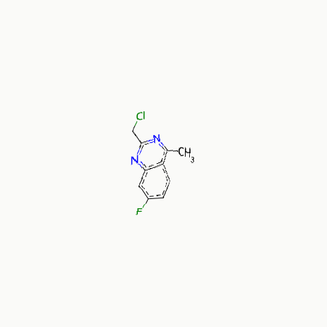 Cc1nc(CCl)nc2cc(F)ccc12